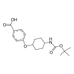 CC(C)(C)OC(=O)NC1CCC(Oc2ccc(C(=O)O)cc2)CC1